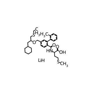 CCSCC(CC1CCCCC1)OCc1ccc(C(=O)NC(CCSC)C(=O)O)c(-c2ccccc2C)c1.[LiH]